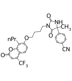 CCCc1c(OCCCCN2C(=O)NC(C)(c3ccc(C#N)cc3)C2=O)ccc2c(C(F)(F)F)cc(=O)oc12